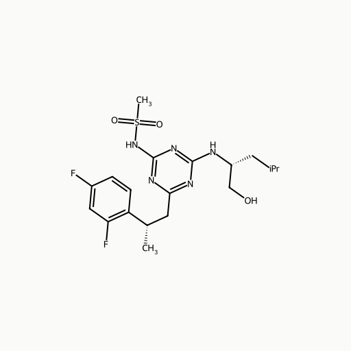 CC(C)C[C@H](CO)Nc1nc(C[C@H](C)c2ccc(F)cc2F)nc(NS(C)(=O)=O)n1